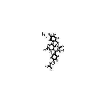 C=C(NCc1ccc(OCC(C)C)cc1)N(Cc1ccc(P)cc1)C1CCN(C)CC1